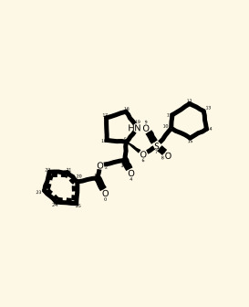 O=C(OC(=O)[C@]1(OS(=O)(=O)C2CCCCC2)CCCN1)c1ccccc1